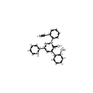 N#Cc1ccccc1-n1nc(-c2ccccn2)cc(-c2ccccc2O)c1=O